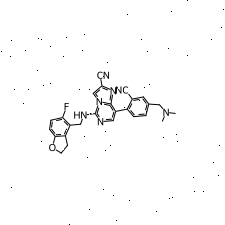 CN(C)Cc1ccc(-c2cnc(NCc3c(F)ccc4c3CCO4)n3cc(C#N)nc23)c(C#N)c1